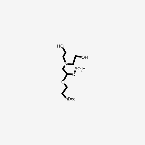 CCCCCCCCCCCCOC(CN(CCO)CCO)OS(=O)(=O)O